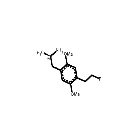 COc1cc(C[C@@H](C)N)c(OC)cc1CCF